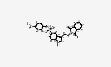 CCOc1ccc(NS(=O)(=O)c2ccc3[nH]cc(CCN4C(=O)c5ccccc5C4=O)c3c2)cc1